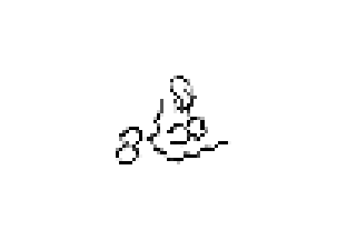 C=C/C=C(/C=C/C=C\C=C\C(=C\C=C)c1cccc2ccccc12)c1ccc(C2=CN3CCCCC3N2)c(C=C)c1C=C